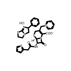 Cl.O=C(Cc1cccs1)N[C@@H]1C(=O)N2C(C(=O)[O-])=C(C[n+]3ccccc3)CS[C@H]12.c1ccc(C2CN3CCSC3=N2)cc1